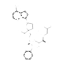 CCC(CC)COC(=O)[C@H](C)N[P@](=O)(OC[C@@]1(CF)O[C@@H](c2ccc3c(N)ccnn23)[C@H](O)[C@@H]1O)Oc1ccccc1